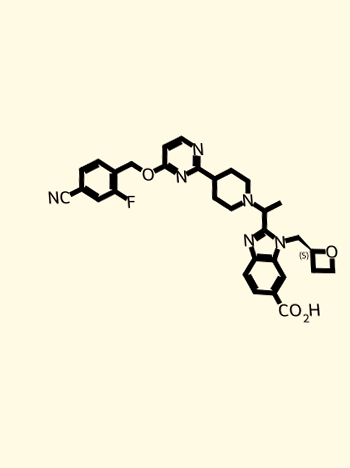 CC(c1nc2ccc(C(=O)O)cc2n1C[C@@H]1CCO1)N1CCC(c2nccc(OCc3ccc(C#N)cc3F)n2)CC1